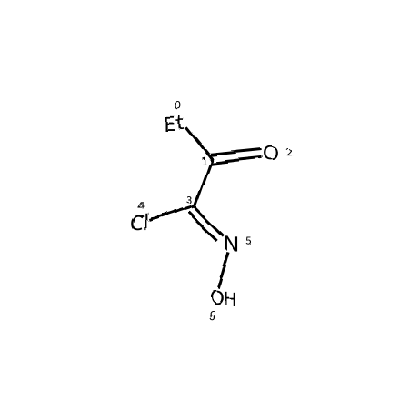 CCC(=O)/C(Cl)=N/O